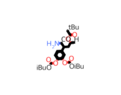 CC(C)COC(=O)Oc1ccc(C(CC(C)OC(=O)CC(C)(C)C)[C@H](N)C(=O)O)cc1OC(=O)OCC(C)C